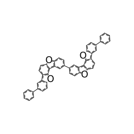 c1ccc(-c2ccc3oc4c(ccc5oc6ccc(-c7ccc8oc9ccc%10c%11cc(-c%12ccccc%12)ccc%11oc%10c9c8c7)cc6c54)c3c2)cc1